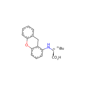 CC[C@H](C)[C@H](Nc1cccc2c1Cc1ccccc1O2)C(=O)O